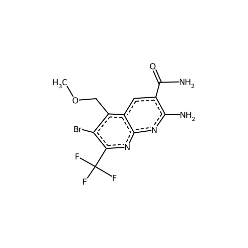 COCc1c(Br)c(C(F)(F)F)nc2nc(N)c(C(N)=O)cc12